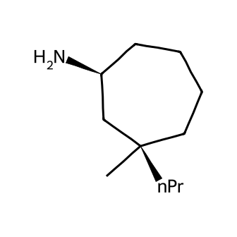 CCC[C@]1(C)CCCC[C@H](N)C1